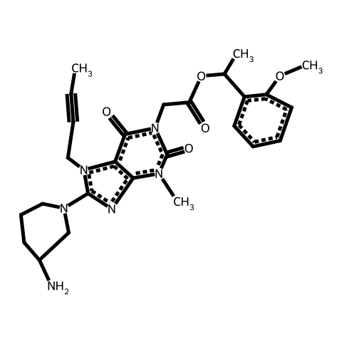 CC#CCn1c(N2CCCC(N)C2)nc2c1c(=O)n(CC(=O)OC(C)c1ccccc1OC)c(=O)n2C